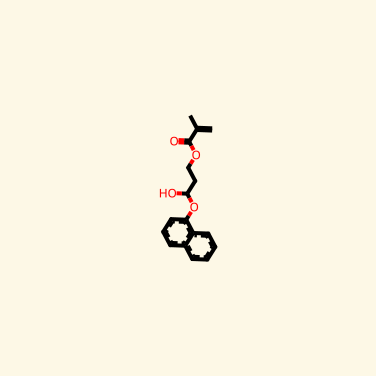 C=C(C)C(=O)OCCC(O)Oc1cccc2ccccc12